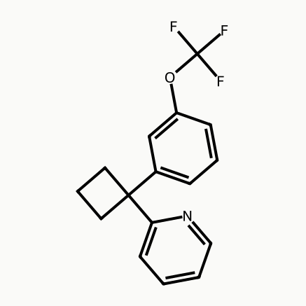 FC(F)(F)Oc1cccc(C2(c3ccccn3)CCC2)c1